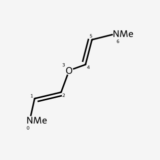 CNC=COC=CNC